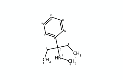 CCC(CC)(NC)c1ccccc1